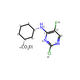 CCOC(=O)[C@@H]1CCC[C@H](Nc2nc(Cl)ncc2F)C1